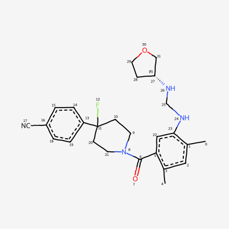 Cc1cc(C)c(C(=O)N2CCC(F)(c3ccc(C#N)cc3)CC2)cc1NCN[C@@H]1CCOC1